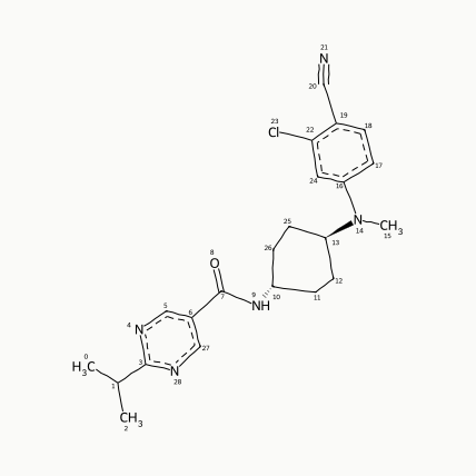 CC(C)c1ncc(C(=O)N[C@H]2CC[C@H](N(C)c3ccc(C#N)c(Cl)c3)CC2)cn1